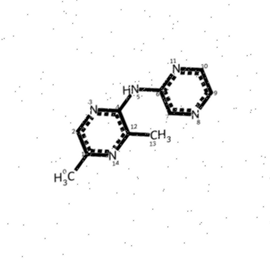 Cc1cnc(Nc2cnccn2)c(C)n1